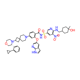 CC1(O)CCC(CNc2ncc(S(=O)(=O)NC(=O)c3ccc(N4CCC5(CC4)CC(N4CCOC[C@H]4c4ccccc4C4CC4)C5)cc3Oc3cnc4[nH]ccc4c3)cc2[N+](=O)[O-])CC1